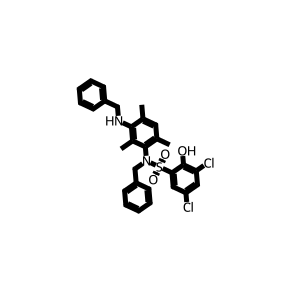 Cc1cc(C)c(N(Cc2ccccc2)S(=O)(=O)c2cc(Cl)cc(Cl)c2O)c(C)c1NCc1ccccc1